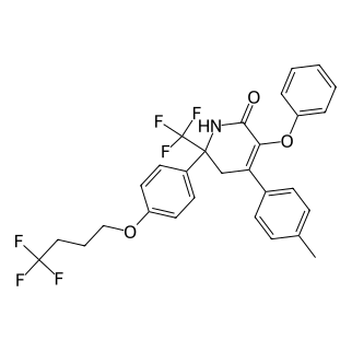 Cc1ccc(C2=C(Oc3ccccc3)C(=O)NC(c3ccc(OCCCC(F)(F)F)cc3)(C(F)(F)F)C2)cc1